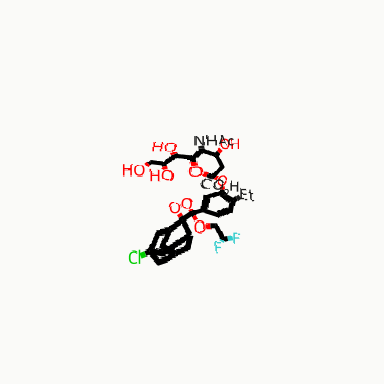 CCc1ccc(C2(OCC(F)F)OOC23C2CC4CC3CC(Cl)(C4)C2)cc1OC1(C(=O)O)CC(O)C(NC(C)=O)C(C(O)C(O)CO)O1